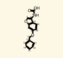 O=C(O)Nc1coc2cc(OCc3ccccc3)ccc12